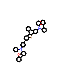 c1ccc(-c2ccccc2N(c2ccccc2)c2ccc3c(c2)c2ccccc2c2c4ccc(-c5ccc(N(c6ccccc6)c6cccc7c6oc6ccccc67)cc5)cc4sc32)cc1